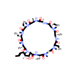 C/C=C/C[C@@H](C)[C@@H](O)[C@H]1C(=O)N[C@@H](CCC)C(=O)N(C)CC(=O)N(C)C(CC(C)C)C(=O)N[C@@H](CCC)C(=O)N(C)[C@@H](CC(C)C)C(=O)N[C@@H](C)C(=O)N[C@H](C)C(=O)N(C)[C@@H](CC(C)C)C(=O)N(C)[C@@H](CC(C)C)C(=O)N(C)[C@@H](C(C)C)C(=O)N1C